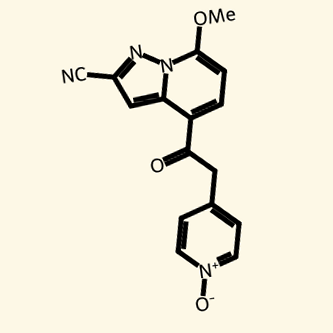 COc1ccc(C(=O)Cc2cc[n+]([O-])cc2)c2cc(C#N)nn12